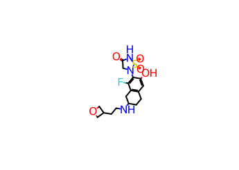 O=C1CN(c2c(O)cc3c(c2F)CC(NCCC2COC2)CC3)S(=O)(=O)N1